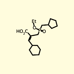 CCOP(=O)(CC(=CC1CCCCC1)C(=O)O)CC1CCCC1